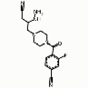 N#CCC(CN1CCN(C(=O)c2ccc(C#N)cc2F)CC1)NN